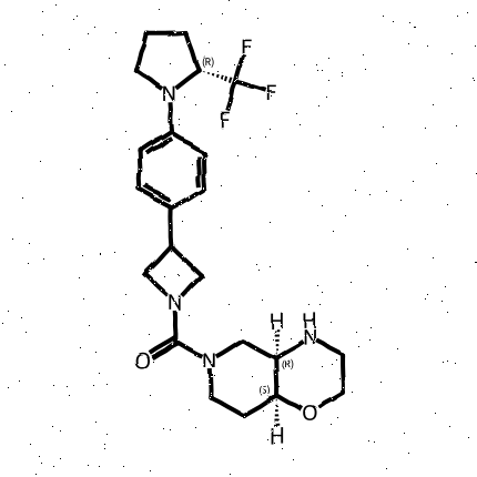 O=C(N1CC(c2ccc(N3CCC[C@@H]3C(F)(F)F)cc2)C1)N1CC[C@@H]2OCCN[C@@H]2C1